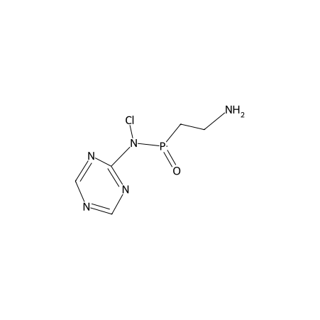 NCC[P](=O)N(Cl)c1ncncn1